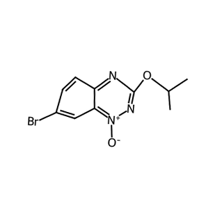 CC(C)Oc1nc2ccc(Br)cc2[n+]([O-])n1